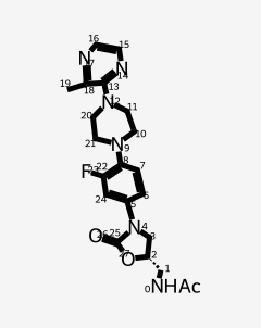 CC(=O)NC[C@H]1CN(c2ccc(N3CCN(c4nccnc4C)CC3)c(F)c2)C(=O)O1